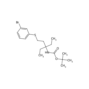 CCC(CC)(CCSc1cccc(Br)c1)NC(=O)OC(C)(C)C